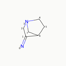 [N]=C1CN2CCC1C2